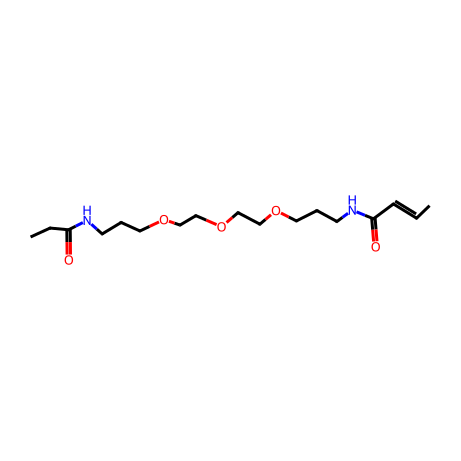 C/C=C/C(=O)NCCCOCCOCCOCCCNC(=O)CC